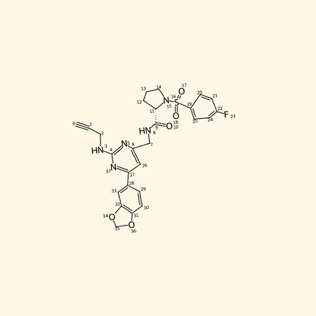 C#CCNc1nc(CNC(=O)[C@@H]2CCCN2S(=O)(=O)c2ccc(F)cc2)cc(-c2ccc3c(c2)OCO3)n1